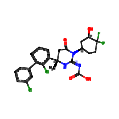 C[C@@]1(c2cccc(-c3cccc(Cl)c3)c2Cl)CC(=O)N([C@@H]2CCC(F)(F)[C@H](O)C2)/C(=N/C(=O)O)N1